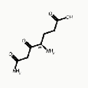 NC(=O)CC(=O)[C@H](N)CCC(=O)O